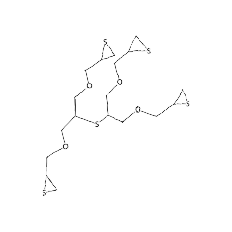 C(OCC(COCC1CS1)SC(COCC1CS1)COCC1CS1)C1CS1